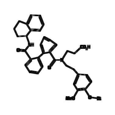 CCOc1ccc(CCN(CCC(=O)O)C(=O)c2ccccc2-c2ccccc2C(=O)NC2CCCc3ccccc32)cc1OC